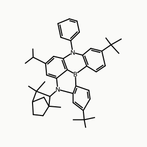 CC(C)c1cc2c3c(c1)N(C1C4(C)CCC(C4)C1(C)C)c1cc(C(C)(C)C)ccc1B3c1ccc(C(C)(C)C)cc1N2c1ccccc1